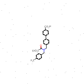 CCOC(=O)C(=O)N(Cc1ccc(-c2ccc(C(=O)O)cc2)cc1)Cc1ccc(C(F)(F)F)cc1